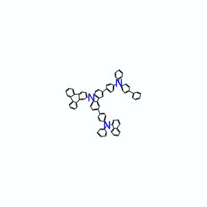 c1ccc(-c2ccc(N(c3ccccc3)c3ccc(-c4ccc5c(c4)c4cc(-c6ccc(N(c7ccccc7)c7cccc8ccccc78)cc6)ccc4n5-c4ccc5c6ccccc6c6ccccc6c5c4)cc3)cc2)cc1